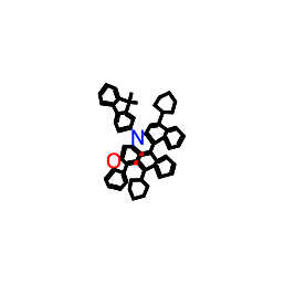 CC1(C)c2ccccc2-c2ccc(N(c3ccc4c(c3)oc3ccccc34)c3cc(C4CCCCC4)c4ccccc4c3-c3ccc(C4CCCCC4)c4ccccc34)cc21